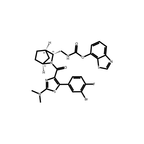 CN(C)c1nc(C(=O)N2[C@H]3CC[C@H](C3)[C@@H]2CNC(=O)Oc2cccc3ncsc23)c(-c2ccc(F)c(Br)c2)s1